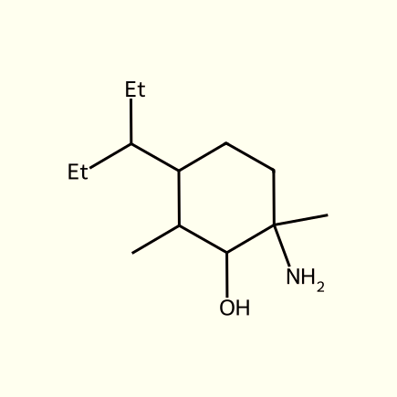 CCC(CC)C1CCC(C)(N)C(O)C1C